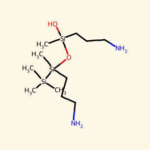 C[Si](O)(CCCN)O[Si](C)(CCCN)[Si](C)(C)C